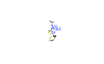 C=C(C)NCc1csc(-c2cccs2)n1